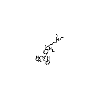 CCCN(CCC)CCCCc1nc2ccc(CN(CC3=NCCN3C)Cc3ncc[nH]3)cc2n1CCC